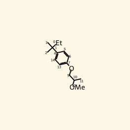 CCC(C)(C)c1ccc(OCC(C)OC)cc1